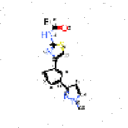 CCC(=O)Nc1nc(-c2cccc(-c3ccn(C)n3)c2)cs1